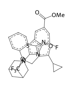 COC(=O)c1cc(F)c2nc(N3CC4CC(C3)C4OCc3c(-c4ccccc4OC(F)(F)F)noc3C3CC3)sc2c1